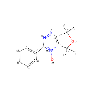 CC1(C)OC(C)(C)c2c1nnc(-c1ccccc1)[n+]2[O-]